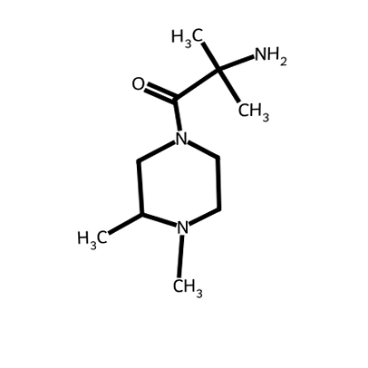 CC1CN(C(=O)C(C)(C)N)CCN1C